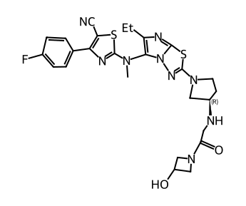 CCc1nc2sc(N3CC[C@@H](NCC(=O)N4CC(O)C4)C3)nn2c1N(C)c1nc(-c2ccc(F)cc2)c(C#N)s1